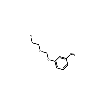 O=[N+]([O-])c1cccc(OCOCCCl)c1